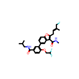 CNC(=O)c1c(C/C=C(\C)CF)oc2ccc(-c3cc(C(=O)NCC(C)C)ccc3OCC(F)F)cc12